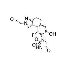 COCCn1cc2c(n1)CCc1cc(O)c(N3CC(=O)NS3(=O)=O)c(F)c1-2